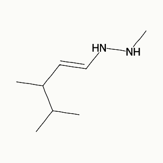 CNNC=CC(C)C(C)C